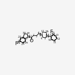 O=C(CCCN1CCN(c2ccccc2F)CC1)N1CCc2cc(F)ccc21